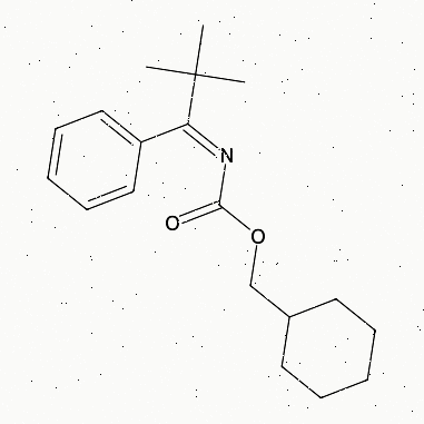 CC(C)(C)/C(=N/C(=O)OCC1CCCCC1)c1ccccc1